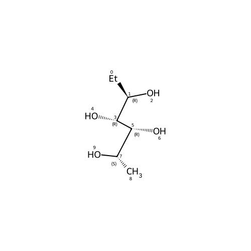 CC[C@@H](O)[C@@H](O)[C@H](O)[C@H](C)O